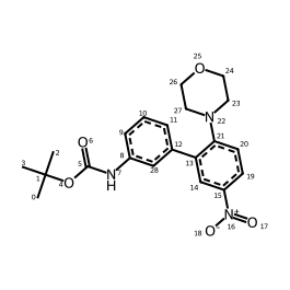 CC(C)(C)OC(=O)Nc1cccc(-c2cc([N+](=O)[O-])ccc2N2CCOCC2)c1